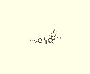 C[C@@]1(c2cc(NC(=O)c3ccc(OCC#N)cn3)cc(F)c2F)C[C@@H](C(F)(F)F)OC(N)=N1